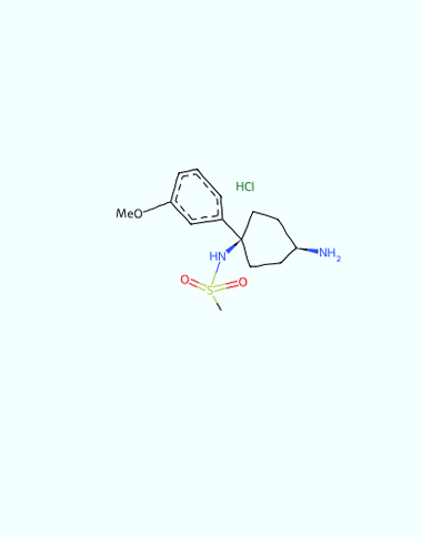 COc1cccc([C@]2(NS(C)(=O)=O)CC[C@@H](N)CC2)c1.Cl